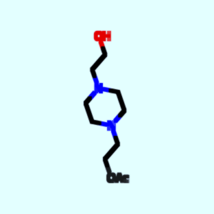 CC(=O)OCCN1CCN(CCO)CC1